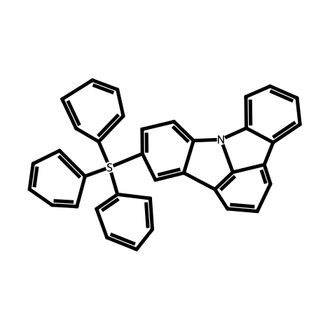 c1ccc(S(c2ccccc2)(c2ccccc2)c2ccc3c(c2)c2cccc4c5ccccc5n3c42)cc1